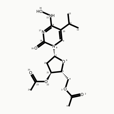 CC(=O)OC[C@H]1O[C@@H](n2cc(C(C)C)c(NO)nc2=O)C[C@@H]1OC(C)=O